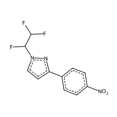 O=[N+]([O-])c1ccc(-c2ccn(C(F)C(F)F)n2)cc1